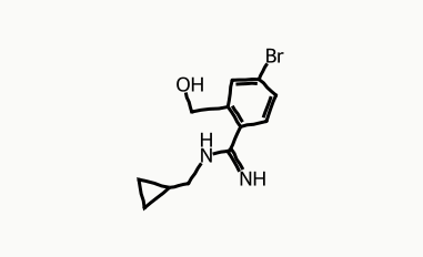 N=C(NCC1CC1)c1ccc(Br)cc1CO